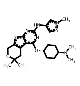 Cn1cc(Nc2nc(O[C@H]3CC[C@H](N(C)C)CC3)c3c4c(sc3n2)COC(C)(C)C4)cn1